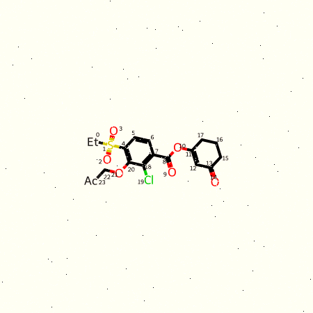 CCS(=O)(=O)c1ccc(C(=O)OC2=CC(=O)CCC2)c(Cl)c1OCC(C)=O